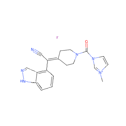 C[n+]1ccn(C(=O)N2CCC(=C(C#N)c3cccc4[nH]ncc34)CC2)c1.[I-]